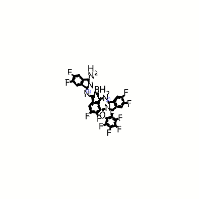 Bn1c(/N=C2\N=C(N)c3cc(F)c(F)cc32)c2cc(F)c(F)cc2c1/N=C1/c2cc(F)c(F)cc2CN1COc1c(F)c(F)c(F)c(F)c1F